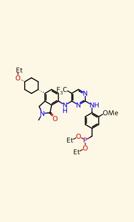 CCOP(Cc1ccc(Nc2ncc(C(F)(F)F)c(Nc3ccc([C@H]4CC[C@@H](OCC)CC4)c4c3C(=O)N(C)C4)n2)c(OC)c1)OCC